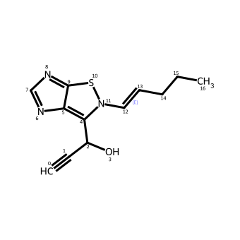 C#CC(O)c1c2ncnc-2sn1/C=C/CCC